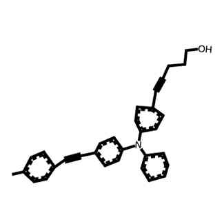 Cc1ccc(C#Cc2ccc(N(c3ccccc3)c3ccc(C#CCCCO)cc3)cc2)cc1